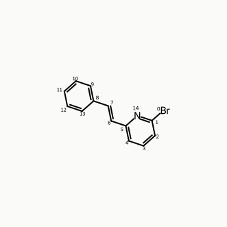 Brc1cccc(/C=C/c2ccccc2)n1